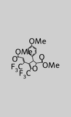 COC(=O)C=C(C1=C(C(F)(F)F)OC(C(=O)OC)C1c1ccc(OC)cc1)C(F)(F)F